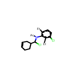 CCc1ccc(Cl)c(CC)c1N(C(C)=O)C(Cl)C1CC=CCC1